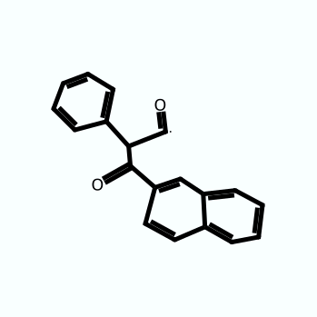 O=[C]C(C(=O)c1ccc2ccccc2c1)c1ccccc1